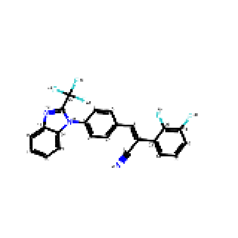 N#CC(=Cc1ccc(-n2c(C(F)(F)F)nc3ccccc32)cc1)c1cccc(F)c1F